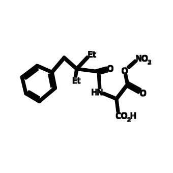 CCC(CC)(Cc1ccccc1)C(=O)NC(C(=O)O)C(=O)O[N+](=O)[O-]